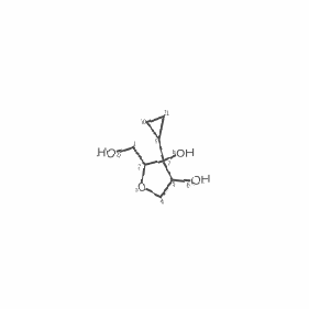 OCC1OCC(O)C1(O)C1CC1